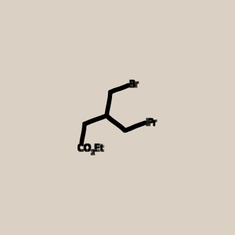 CCOC(=O)CC(CBr)CC(C)C